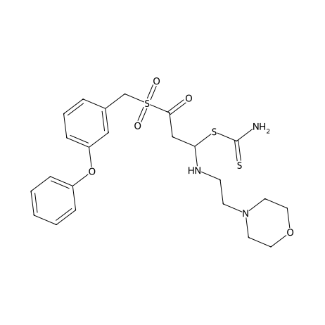 NC(=S)SC(CC(=O)S(=O)(=O)Cc1cccc(Oc2ccccc2)c1)NCCN1CCOCC1